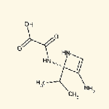 CC(C)[C@@]1(NC(=O)C(=O)O)NC=C1N